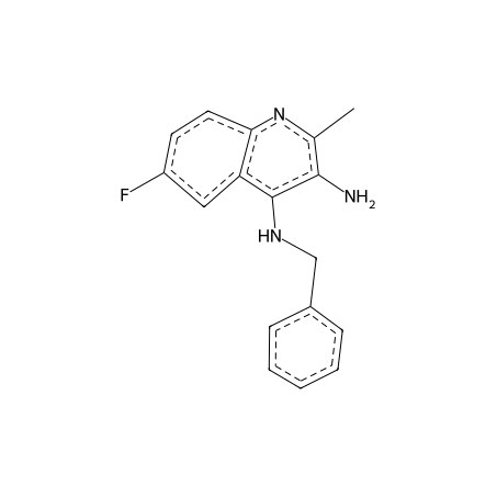 Cc1nc2ccc(F)cc2c(NCc2ccccc2)c1N